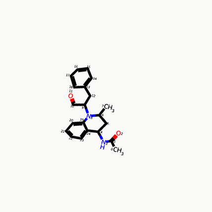 CC(=O)NC1CC(C)N(C(C=O)Cc2ccccc2)c2ccccc21